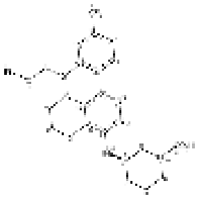 CCOCOc1cc(C(F)(F)F)ccc1-c1nnc(N[C@@H]2CCCN(C(=O)O)C2)c2c1CCCC2